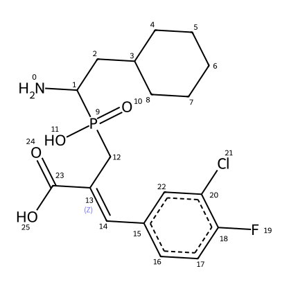 NC(CC1CCCCC1)P(=O)(O)C/C(=C\c1ccc(F)c(Cl)c1)C(=O)O